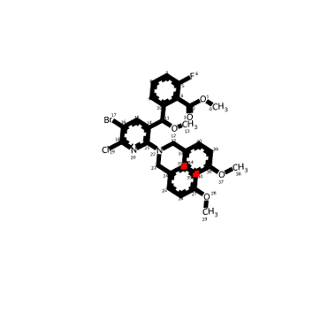 COC(=O)c1c(F)cccc1C(OC)c1cc(Br)c(Cl)nc1N(Cc1ccc(OC)cc1)Cc1ccc(OC)cc1